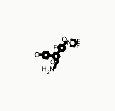 NCc1cc2cc(-c3ccc(C(=O)N4CCC(F)(F)CC4)cc3F)cc(-c3ccc(Cl)cc3)c2o1